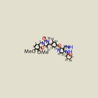 COc1ccc(Cn2c(=O)c(C)c(-c3ccc(Oc4nccc(NC5CCCCO5)c4C=N)cc3C)n(C)c2=O)cc1OC